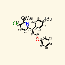 COc1nc(/C(=C/COc2ccccc2)c2ccc(C(C)(C)C)cc2)ccc1Cl